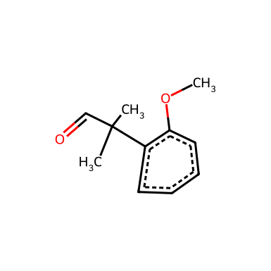 COc1ccccc1C(C)(C)C=O